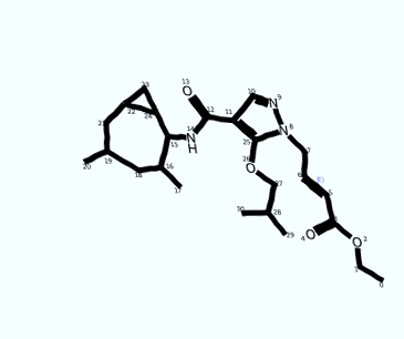 CCOC(=O)/C=C/Cn1ncc(C(=O)NC2C(C)CC(C)CC3CC32)c1OCC(C)C